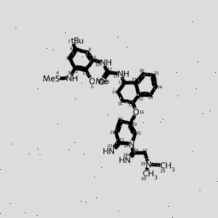 COc1c(NSC)cc(C(C)(C)C)cc1NC(=O)NC1CCC(Oc2ccc(=N)n(C(=N)CN(C)C)c2)c2ccccc21